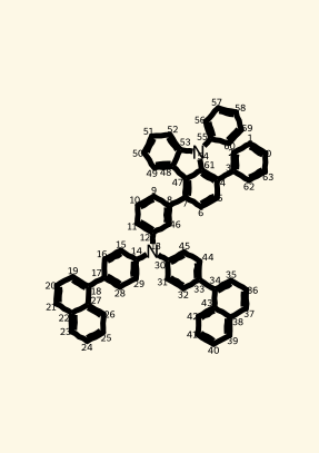 c1ccc(-c2ccc(-c3cccc(N(c4ccc(-c5cccc6ccccc56)cc4)c4ccc(-c5cccc6ccccc56)cc4)c3)c3c4ccccc4n(-c4ccccc4)c23)cc1